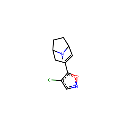 CN1C2C=C(c3oncc3Cl)CC1CC2